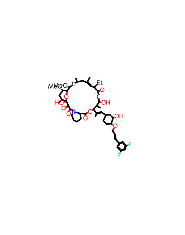 CCC1/C=C(\C)CC(C)CC(OC)C2OC(O)(C(=O)C(=O)N3CCCCC3C(=O)OC(C(C)=CC3CCC(OCC=Cc4cc(F)cc(F)c4)C(O)C3)C(C)C(O)CC1=O)C(C)CC2OC